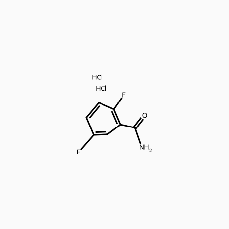 Cl.Cl.NC(=O)c1cc(F)ccc1F